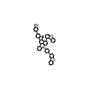 CC(C)(C)c1ccc(-c2ccc3c(c2)C(C)(C)c2ccc(-c4ccccc4N(c4ccc(-c5ccc6sc7ccccc7c6c5)cc4)c4ccc(-c5cccc6oc7ccccc7c56)cc4)cc2-3)cc1